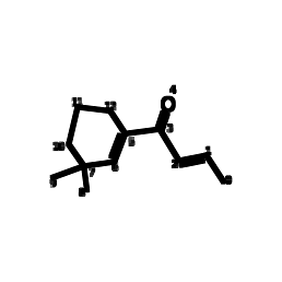 CC=CC(=O)C1=CC(C)(C)CCC1